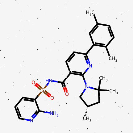 Cc1ccc(C)c(-c2ccc(C(=O)NS(=O)(=O)c3cccnc3N)c(N3C[C@@H](C)CC3(C)C)n2)c1